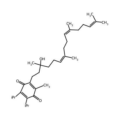 CC(C)=CCCC(C)=CCCC(C)=CCCC(C)(O)CCC1=C(C)C(=O)C(C(C)C)=C(C(C)C)C1=O